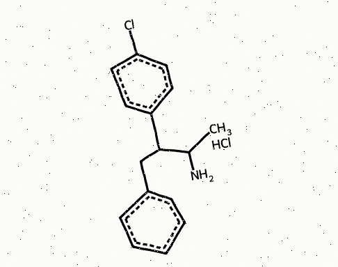 CC(N)C(Cc1ccccc1)c1ccc(Cl)cc1.Cl